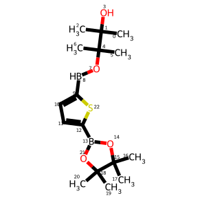 CC(C)(O)C(C)(C)OBc1ccc(B2OC(C)(C)C(C)(C)O2)s1